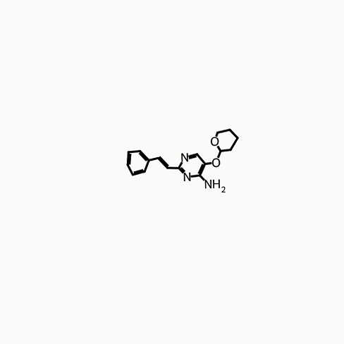 Nc1nc(C=Cc2ccccc2)ncc1OC1CCCCO1